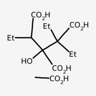 CC(=O)O.CCC(C(=O)O)C(O)(C(=O)O)C(CC)(CC)C(=O)O